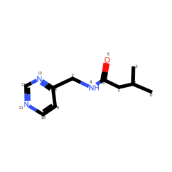 CC(C)CC(=O)NCc1ccncn1